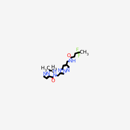 CC(C)n1nccc1C(=O)NCc1cn2ncc(CNC(=O)CCC(C)(F)F)cc2n1